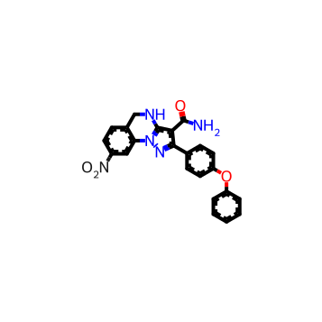 NC(=O)c1c(-c2ccc(Oc3ccccc3)cc2)nn2c1NCc1ccc([N+](=O)[O-])cc1-2